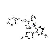 C=C(/N=C(\SC)C1=C(c2ccc(F)cc2)CN(C(C)(C)C)N=C1)C(=O)NCCN1CCOCC1